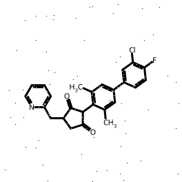 Cc1cc(-c2ccc(F)c(Cl)c2)cc(C)c1C1C(=O)CC(Cc2ccccn2)C1=O